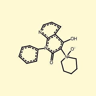 O=c1c([N+]2([O-])CCCCC2)c(O)c2cccnc2n1-c1ccccc1